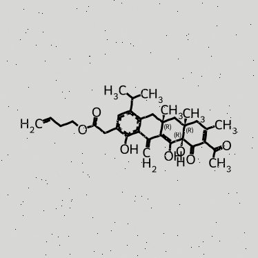 C=CCCOC(=O)Cc1cc(C(C)C)c2c(c1O)C(=C)C1=C(O)[C@@]3(O)C(=O)C(C(C)=O)=C(C)C[C@@]3(C)C[C@@]1(C)C2